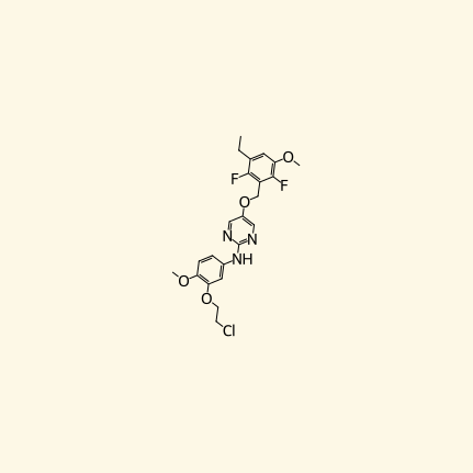 CCc1cc(OC)c(F)c(COc2cnc(Nc3ccc(OC)c(OCCCl)c3)nc2)c1F